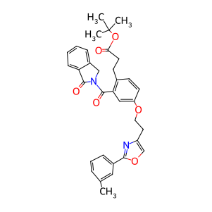 Cc1cccc(-c2nc(CCOc3ccc(CCC(=O)OC(C)(C)C)c(C(=O)N4Cc5ccccc5C4=O)c3)co2)c1